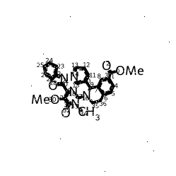 COC(=O)c1ccc2c(c1)C(c1cccnc1)N(c1nc(-c3nc4ccccc4o3)c(OC)c(=O)n1C)CC2